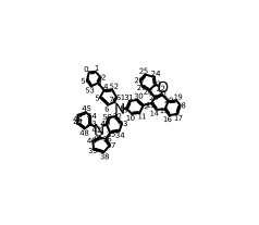 c1ccc(-c2ccc(N(c3ccc(-c4cc5ccccc5c5oc6ccccc6c45)cc3)c3ccc4c5ccccc5n(-c5ccccc5)c4c3)cc2)cc1